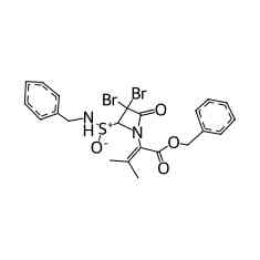 CC(C)=C(C(=O)OCc1ccccc1)N1C(=O)C(Br)(Br)C1[S+]([O-])NCc1ccccc1